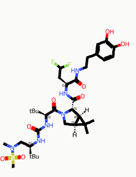 CN(C[C@@H](NC(=O)N[C@H](C(=O)N1C[C@H]2[C@@H]([C@H]1C(=O)N[C@@H](CC(F)F)C(=O)NCCc1ccc(O)c(O)c1)C2(C)C)C(C)(C)C)C(C)(C)C)S(C)(=O)=O